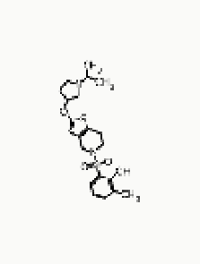 Cc1cccc(S(=O)(=O)N2CCc3sc(OC4CCN(C(C)C)C4)cc3C2)c1O